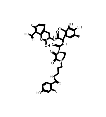 O=C(NCCCN1CCN(C(=O)NC(C(=O)NC2Cc3ccc(F)c(C(=O)O)c3OB2O)c2cc(F)c(O)c(O)c2Cl)C(=O)C1=O)c1ccc(O)cc1Cl